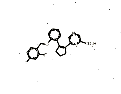 O=C(O)c1cncc(C2=C(c3ccccc3OCc3ccc(F)cc3F)CCC2)n1